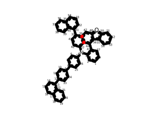 c1ccc(N(c2ccc(-c3ccc(-c4cccc5ccccc45)cc3)cc2)c2ccc(-c3cccc4ccccc34)cc2)c(-c2cccc3oc4ccccc4c23)c1